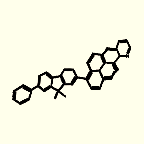 CC1(C)c2cc(C3=C4C=CC5=C6C(=CC=C(C=C3)C46)C3N=CC=CC3=C5)ccc2-c2ccc(-c3ccccc3)cc21